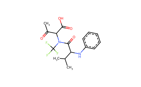 CC(=O)C(C(=O)O)N(C(=O)C(Nc1ccccc1)C(C)C)C(F)(F)F